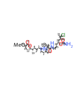 C=C(\C=C/C=C\C(C)=C\[C@H](C)[C@@H]1CC=C(OC)C(=O)O1)NC(C(=O)N/C=C\C[C@H](C/C=C(\C)Cl)OC(N)=O)C(C)(C)C